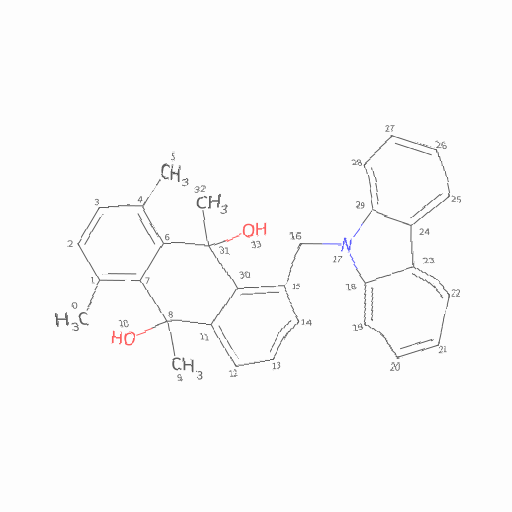 Cc1ccc(C)c2c1C(C)(O)c1cccc(Cn3c4ccccc4c4ccccc43)c1C2(C)O